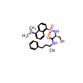 CC(C)C[C@H](NS(=O)(=O)c1cccc2c(N(C)C)cccc12)C(=O)N[C@H](C#N)CCc1ccccc1